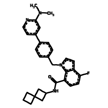 CN(C)c1cc(-c2ccc(Cn3ccc4c(F)ccc(C(=O)NC5CC6(CCC6)C5)c43)cc2)ccn1